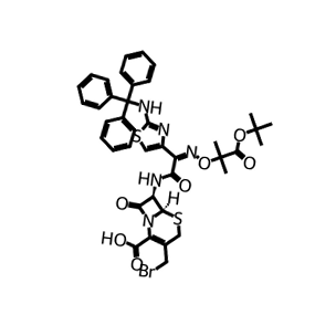 CC(C)(C)OC(=O)C(C)(C)O/N=C(\C(=O)N[C@@H]1C(=O)N2C(C(=O)O)=C(CBr)CS[C@H]12)c1csc(NC(c2ccccc2)(c2ccccc2)c2ccccc2)n1